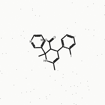 COC(=O)C1C(c2ccccc2I)C=C(C)NC1(C)c1cccnc1